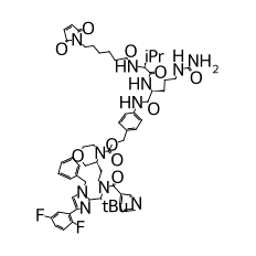 CC(C)[C@H](NC(=O)CCCCCN1C(=O)C=CC1=O)C(=O)N[C@@H](CCCNC(N)=O)C(=O)Nc1ccc(COC(=O)N2CCOC[C@@H]2CCN(C(=O)c2cccnc2)[C@@H](c2nc(-c3cc(F)ccc3F)cn2Cc2ccccc2)C(C)(C)C)cc1